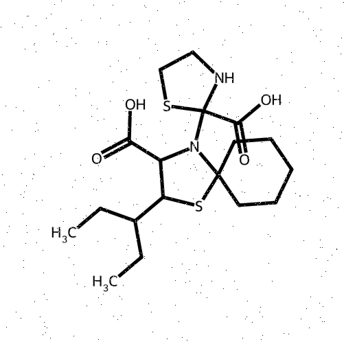 CCC(CC)C1SC2(CCCCC2)N(C2(C(=O)O)NCCS2)C1C(=O)O